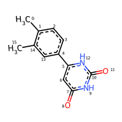 Cc1ccc(-c2cc(=O)[nH]c(=O)[nH]2)cc1C